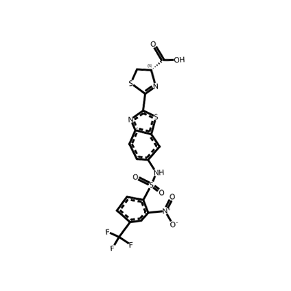 O=C(O)[C@H]1CSC(c2nc3ccc(NS(=O)(=O)c4ccc(C(F)(F)F)cc4[N+](=O)[O-])cc3s2)=N1